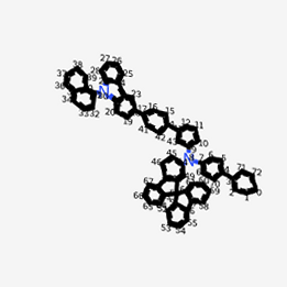 c1ccc(-c2ccc(N(c3cccc(-c4ccc(-c5ccc6c(c5)c5ccccc5n6-c5cccc6ccccc56)cc4)c3)c3ccc4c(c3)C3(c5ccccc5-c5ccccc53)c3ccccc3-4)cc2)cc1